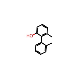 Cc1ccccc1-c1c(C)cccc1O